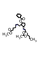 CCCCC[C@@H](/C=C/[C@H]1CC[C@@H](OC(=O)c2ccccc2)[C@@H]1C/C=C\CCCC(=O)OC)OC(C)=O